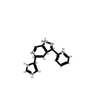 c1ccc(-c2n[nH]c3cnc(-c4cncs4)cc23)nc1